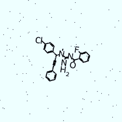 CN(/C(N)=N/C(=O)c1ccccc1F)C(C#Cc1ccccc1)c1ccc(Cl)cc1